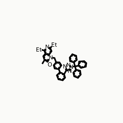 CCc1cc2c(cc(C)c(=O)n2Cc2ccc(-c3ccccc3-c3nnn(C(c4ccccc4)(c4ccccc4)c4ccccc4)n3)cc2)c(CC)n1